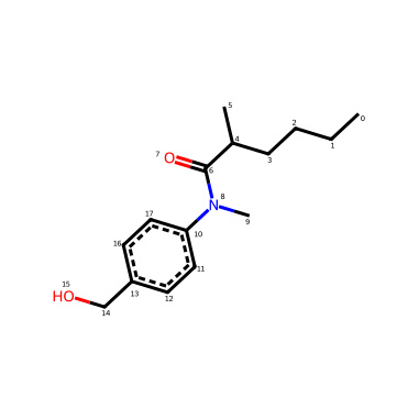 CCCCC(C)C(=O)N(C)c1ccc(CO)cc1